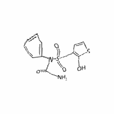 NC(=O)N(c1ccccc1)S(=O)(=O)c1ccsc1O